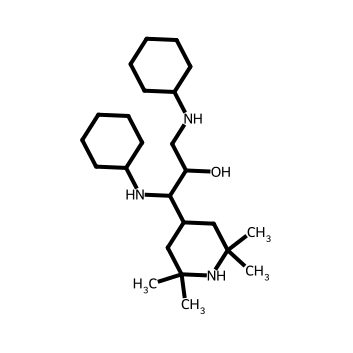 CC1(C)CC(C(NC2CCCCC2)C(O)CNC2CCCCC2)CC(C)(C)N1